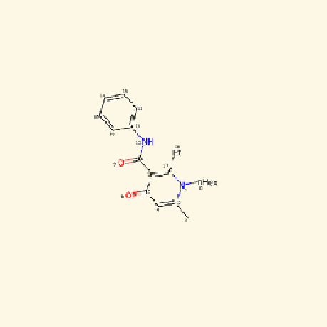 CCCCCCn1c(C)cc(=O)c(C(=O)Nc2ccccc2)c1CC